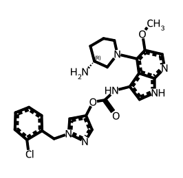 COc1cnc2[nH]cc(NC(=O)Oc3cnn(Cc4ccccc4Cl)c3)c2c1N1CCC[C@@H](N)C1